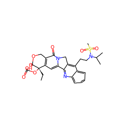 CC[C@@]1(OC(=O)O)C(=O)OCc2c1cc1n(c2=O)Cc2c-1nc1ccccc1c2CCN(C(C)C)S(C)(=O)=O